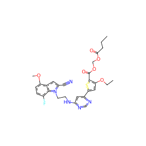 CCCC(=O)OCOC(=O)c1sc(-c2cc(NCCn3c(C#N)cc4c(OC)ccc(F)c43)ncn2)cc1OCC